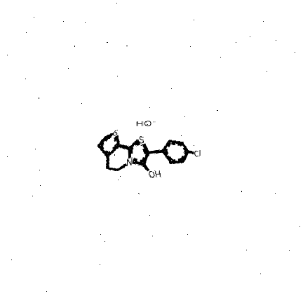 Oc1c(-c2ccc(Cl)cc2)sc2[n+]1CCc1ccsc1-2.[OH-]